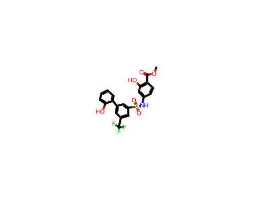 COC(=O)c1ccc(NS(=O)(=O)c2cc(-c3ccccc3O)cc(C(F)(F)F)c2)cc1O